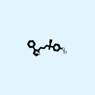 C#CC(C)(CCCc1sccc1-c1ccccc1)c1ccc(OCC)cc1